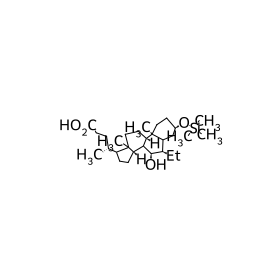 CC[C@@H]1C2C[C@H](O[Si](C)(C)C)CCC2(C)[C@H]2CCC3(C)C([C@H](C)CCC(=O)O)CC[C@H]3C2[C@@H]1O